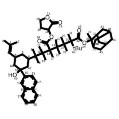 CC(C)=CC1CC(C(C)(C)C(C)(C)C(C)(C(=O)OC2CCOC2=O)C(C)(C)C(C)(C)C(C)(C(=O)OC2(C)C3CC4CC(C3)CC2C4)C(C)(C)C)CC(O)(c2ccc3ccccc3c2)C1